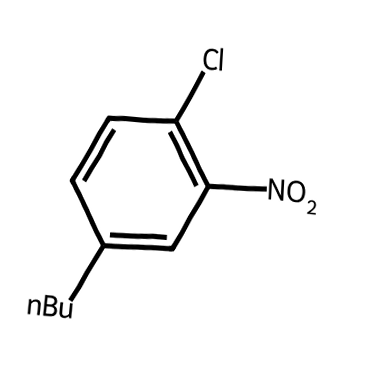 CCCCc1ccc(Cl)c([N+](=O)[O-])c1